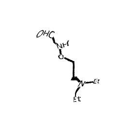 CCN(CC)CCONC=O